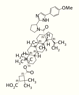 C=C(C)[C@@H]1CC[C@]2(C(=O)N3CCCC3c3ncc(-c4ccc(OC)cc4)[nH]3)CC[C@]3(C)[C@H](CC[C@@H]4[C@@]5(C)CC[C@H](OC(=O)[C@H]6C[C@@H](C(=O)O)C6(C)C)C(C)(C)[C@@H]5CC[C@]43C)[C@@H]12